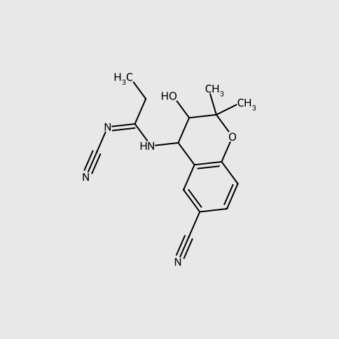 CC/C(=N/C#N)NC1c2cc(C#N)ccc2OC(C)(C)C1O